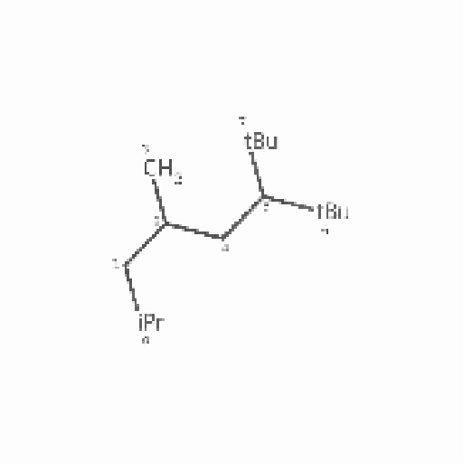 [CH2]C(C)CC(C)CC(C(C)(C)C)C(C)(C)C